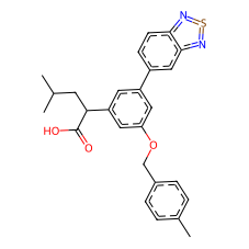 Cc1ccc(COc2cc(-c3ccc4nsnc4c3)cc(C(CC(C)C)C(=O)O)c2)cc1